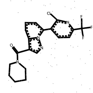 O=C(c1cnn2c(-c3ccc(C(F)(F)F)nc3Cl)cccc12)N1CCCCC1